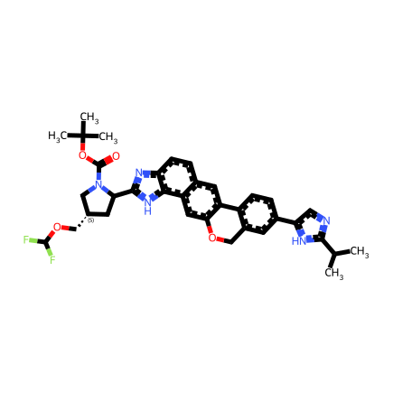 CC(C)c1ncc(-c2ccc3c(c2)COc2cc4c(ccc5nc(C6C[C@H](COC(F)F)CN6C(=O)OC(C)(C)C)[nH]c54)cc2-3)[nH]1